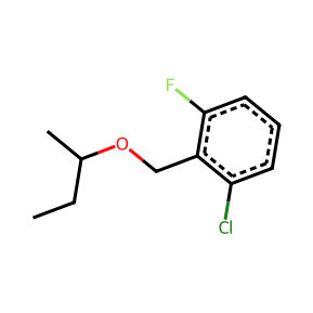 CCC(C)OCc1c(F)cccc1Cl